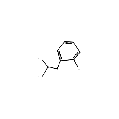 CC(=O)C(Cc1ccccc1F)C(C)=O